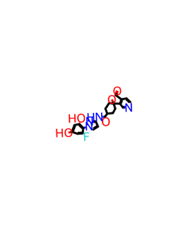 O=C1OC2(CCC(C(=O)Nc3ccn(-c4c(O)cc(O)cc4F)n3)CC2)c2cnccc21